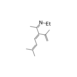 C=C(C)C(=C\C=C(C)C)/C(C)=N\CC